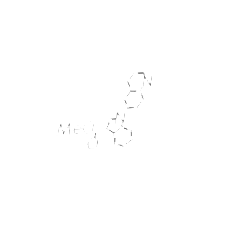 COC(=O)c1cn(-c2ccc3ncccc3c2)c2ccccc12